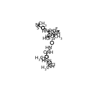 CNc1nc(Nc2ccc(C(=O)NCCNC[C@H]3CC[C@H](CSC(C)(C)[C@H](NC(=O)C4(F)CC4)C(=O)N4C[C@H](O)CC4C(=O)NCc4ccc(-c5scnc5C)cc4)CC3)cc2OC)ncc1Cl